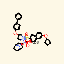 CC(C)(C)OC(=O)NC1CC2CCC(C1)N2C(=O)[C@@H]1C[C@@H](Oc2ccc(-c3ccccc3)cc2)CN1S(=O)(=O)c1ccc2cc(OC3CCCC3)ccc2c1